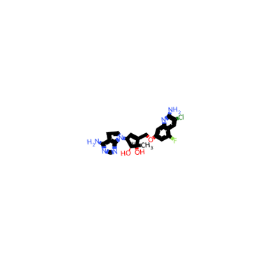 CC1(O)C(COc2cc(F)c3cc(Cl)c(N)nc3c2)=CC(n2ccc3c(N)ncnc32)[C@H]1O